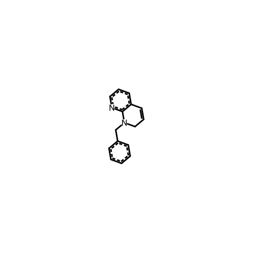 C1=Cc2cccnc2N(Cc2ccccc2)C1